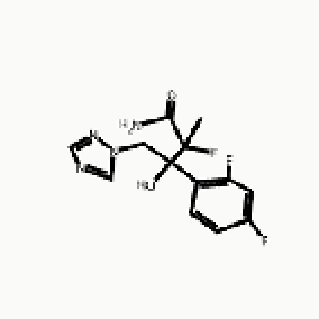 CC(F)(C(N)=O)C(O)(Cn1cncn1)c1ccc(F)cc1F